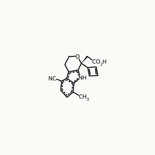 Cc1ccc(C#N)c2c3c([nH]c12)[C@@](CC(=O)O)(C1=CC=C1)OCC3